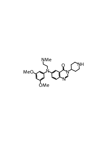 CNCCN(c1cc(OC)cc(OC)c1)c1ccc2ncn(C3CCNCC3)c(=O)c2c1